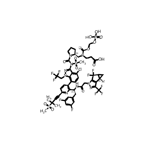 CC(C)(C#Cc1ccc(-c2ccc(Cl)c3c(N(C(=O)N4CCC[C@H]4CN(CCC(=O)O)C(=O)OCOP(=O)(O)O)S(C)(=O)=O)nn(CC(F)(F)F)c23)c([C@H](Cc2cc(F)cc(F)c2)NC(=O)Cn2nc(C(F)(F)F)c3c2C(F)(F)C2C[C@H]32)n1)S(C)(=O)=O